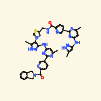 Cc1cc(Nc2cc(C)[nH]n2)nc(-c2ccc(C(=O)NCc3c[n+](-c4c(Nc5cc(C)nc(-c6ccc(C(=O)N7Cc8ccccc8C7)nc6)n5)n[nH]c4C)cs3)nc2)n1